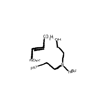 CCCCCCCCCCC=CC(=O)O.CCCCN(CCO)CCO